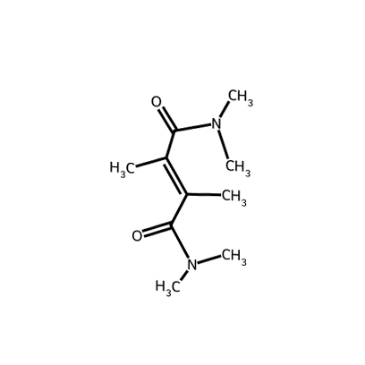 CC(C(=O)N(C)C)=C(C)C(=O)N(C)C